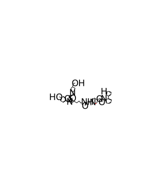 O=C(CCN1CCC(OC(=O)Nc2ccccc2-c2ccccc2)CC1)NCCCCCN(Cc1ccc(O)cc1)S(=O)(=O)CCN1CCC(CO)CC1